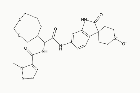 Cn1nccc1C(=O)NC(C(=O)Nc1ccc2c(c1)NC(=O)C21CC[S+]([O-])CC1)C1CCCCCCC1